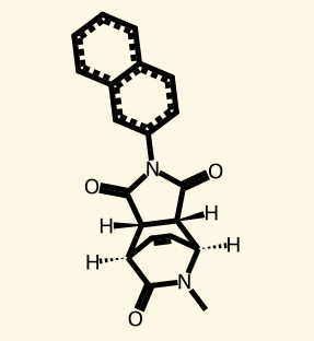 CN1C(=O)[C@@H]2C=C[C@H]1[C@H]1C(=O)N(c3ccc4ccccc4c3)C(=O)[C@H]12